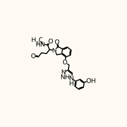 CNC(=O)C(CCC=O)N1Cc2c(OC/C(=C/Nc3cccc(O)c3)N=N)cccc2C1=O